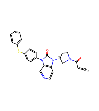 C=CC(=O)N1CC[C@@H](n2c(=O)n(-c3ccc(Sc4ccccc4)cc3)c3cnccc32)C1